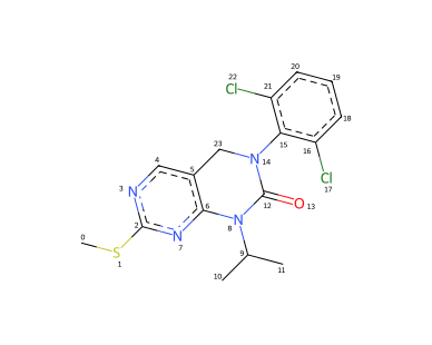 CSc1ncc2c(n1)N(C(C)C)C(=O)N(c1c(Cl)cccc1Cl)C2